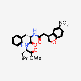 COC(=O)[C@H](CC(C)C)NC(=O)[C@H](Cc1ccccc1)NC(=O)CC1COc2ccc([N+](=O)[O-])cc21